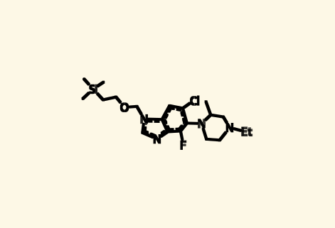 CCN1CCN(c2c(Cl)cc3c(ncn3COCC[Si](C)(C)C)c2F)C(C)C1